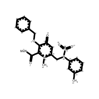 CNC(=O)c1c(OCc2ccccc2)c(=O)cc(CN(c2cccc(C)c2)[SH](=O)=O)n1C